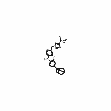 COC(=O)c1cn(Cc2ccc(Nc3ccc(C45CC6CC(CC4C6)C5)cc3Cl)cc2)cn1